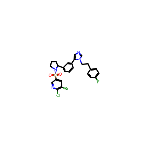 O=S(=O)(c1cnc(Cl)c(Br)c1)N1CCCC1c1cccc(-c2cncn2CCc2ccc(F)cc2)c1